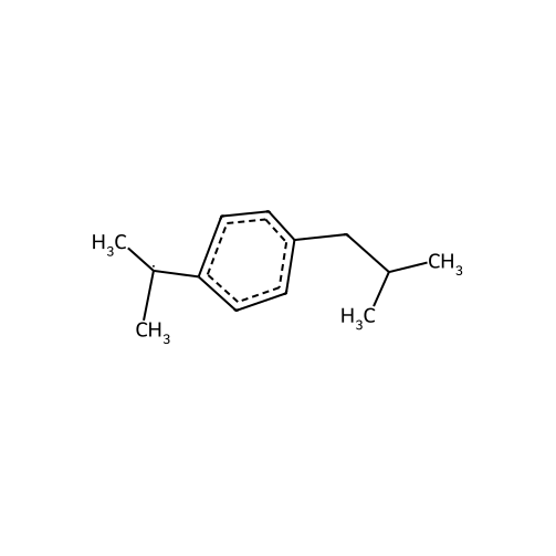 C[C](C)c1ccc(CC(C)C)cc1